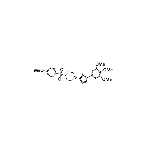 COc1ccc(S(=O)(=O)C2CCN(c3nc(-c4cc(OC)c(OC)c(OC)c4)cs3)CC2)cc1